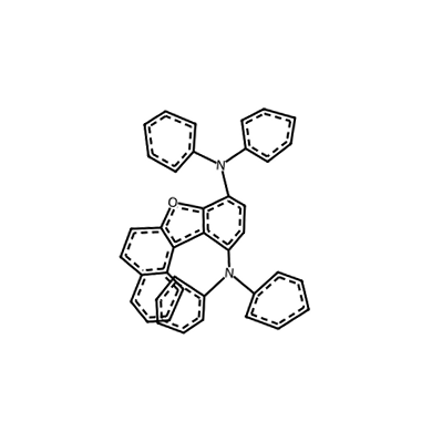 c1ccc(N(c2ccccc2)c2ccc(N(c3ccccc3)c3ccccc3)c3c2oc2ccc4ccccc4c23)cc1